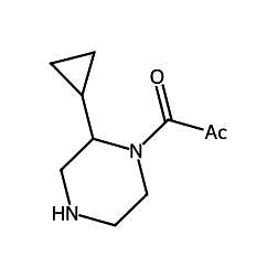 CC(=O)C(=O)N1CCNCC1C1CC1